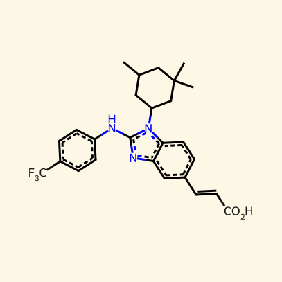 CC1CC(n2c(Nc3ccc(C(F)(F)F)cc3)nc3cc(/C=C/C(=O)O)ccc32)CC(C)(C)C1